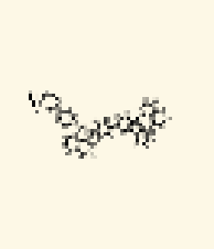 C/C=C\C(=C/C)c1ccc(CCN(c2ccc(-c3ccc4c(c3)c3ccccc3n4-c3cccc4c3C(C)CCC4)cc2)c2cccc3ccccc23)cc1